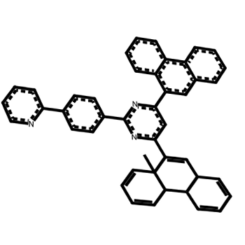 CC12C=CC=CC1C1C=CC=CC1C=C2c1cc(-c2cc3ccccc3c3ccccc23)nc(-c2ccc(-c3ccccn3)cc2)n1